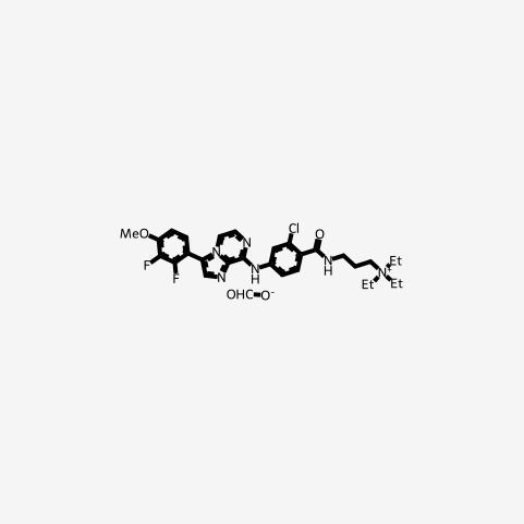 CC[N+](CC)(CC)CCCNC(=O)c1ccc(Nc2nccn3c(-c4ccc(OC)c(F)c4F)cnc23)cc1Cl.O=C[O-]